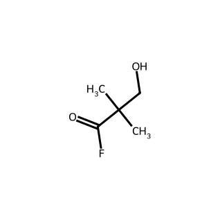 CC(C)(CO)C(=O)F